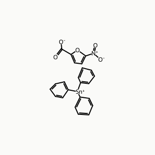 O=C([O-])c1ccc([N+](=O)[O-])o1.c1cc[c]([Sn+]([c]2ccccc2)[c]2ccccc2)cc1